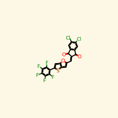 O=C1C(=Cc2cc3sc(-c4c(F)c(F)c(F)c(F)c4F)cc3o2)C(=O)c2cc(Cl)c(Cl)cc21